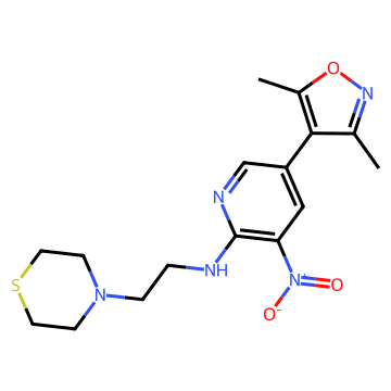 Cc1noc(C)c1-c1cnc(NCCN2CCSCC2)c([N+](=O)[O-])c1